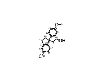 COc1ccc(C2(CCO)CCc3cc(Cl)ccc32)cc1